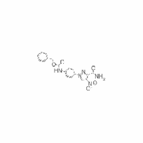 NC(=O)c1nn(-c2ccc(NC(=O)OCc3ccccc3)cc2)cc1[N+](=O)[O-]